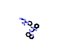 CN(C)/C(=N\C#N)N1CCC[C@H](Cn2c(CN(C)[C@H]3CCCc4cccnc43)nc3ccccc32)C1